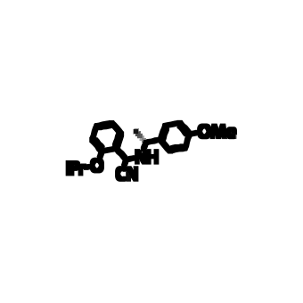 COc1ccc([C@@H](C)NC(C#N)c2ccccc2OC(C)C)cc1